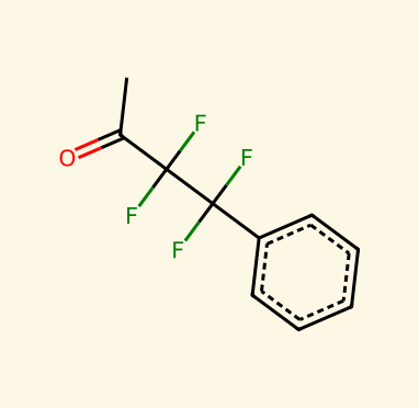 CC(=O)C(F)(F)C(F)(F)c1ccccc1